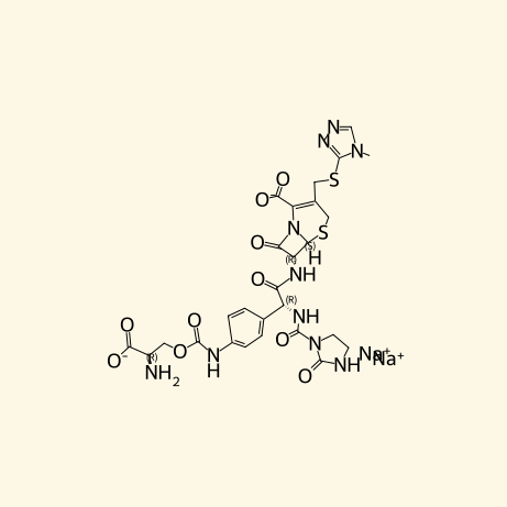 Cn1cnnc1SCC1=C(C(=O)[O-])N2C(=O)[C@@H](NC(=O)[C@H](NC(=O)N3CCNC3=O)c3ccc(NC(=O)OC[C@@H](N)C(=O)[O-])cc3)[C@@H]2SC1.[Na+].[Na+]